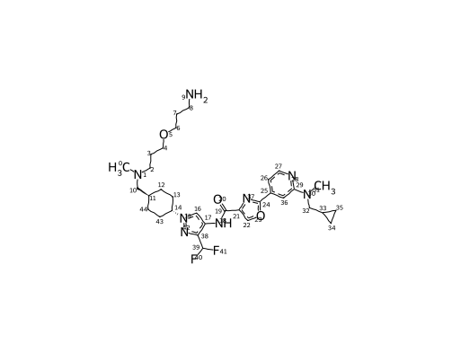 CN(CCCOCCCN)C[C@H]1CC[C@H](n2cc(NC(=O)c3coc(-c4ccnc(N(C)CC5CC5)c4)n3)c(C(F)F)n2)CC1